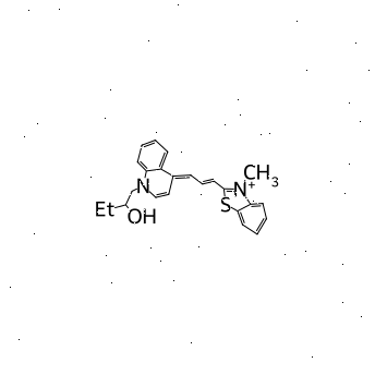 CCC(O)CN1C=C/C(=C\C=C\c2sc3ccccc3[n+]2C)c2ccccc21